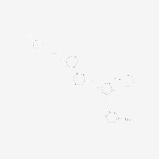 Cc1c(COc2cc(OCc3cncc(C#N)c3)c(CN3CCCCC3CO)cc2Cl)cccc1-c1cccc(OCCCN2CCC(O)C2)c1C